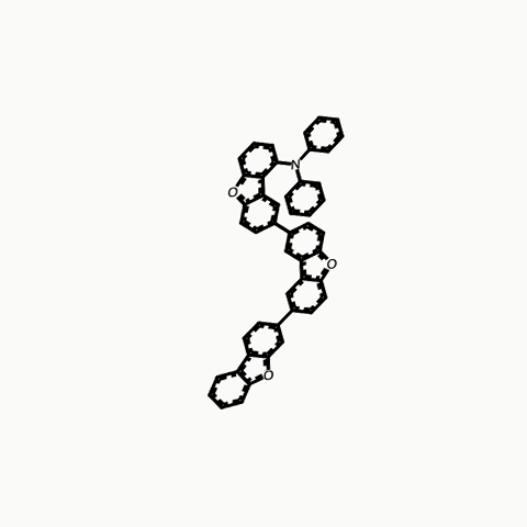 c1ccc(N(c2ccccc2)c2cccc3oc4ccc(-c5ccc6oc7ccc(-c8ccc9c(c8)oc8ccccc89)cc7c6c5)cc4c23)cc1